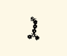 c1ccc(-c2nc(-c3ccccc3)nc(-c3ccc(-c4ccc(-c5ccc6oc7nccnc7c6c5)cc4)cc3)n2)cc1